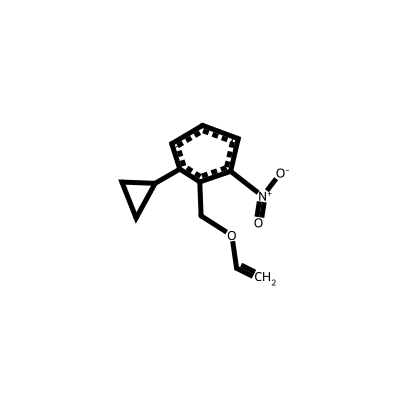 C=COCc1c(C2CC2)cccc1[N+](=O)[O-]